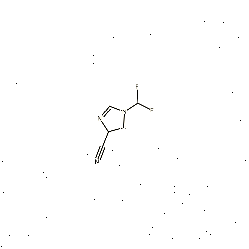 N#CC1[C]N(C(F)F)[C]=N1